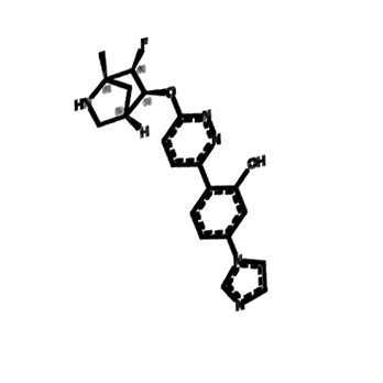 C[C@@]12C[C@@H](CN1)[C@H](Oc1ccc(-c3ccc(-n4ccnc4)cc3O)nn1)[C@@H]2F